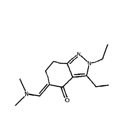 CCc1c2c(nn1CC)CC/C(=C\N(C)C)C2=O